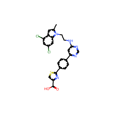 Cc1cc2c(Cl)cc(Cl)cc2n1CCNc1cc(-c2ccc(-c3nc(C(=O)O)cs3)cc2)ncn1